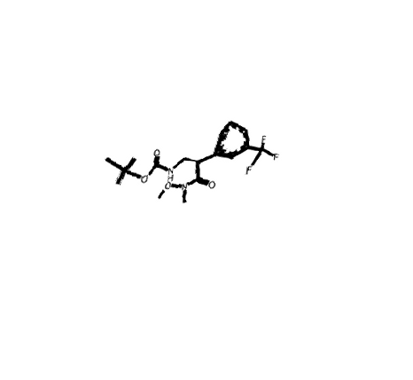 CON(C)C(=O)[C@@H](CNC(=O)OC(C)(C)C)c1cccc(C(F)(F)F)c1